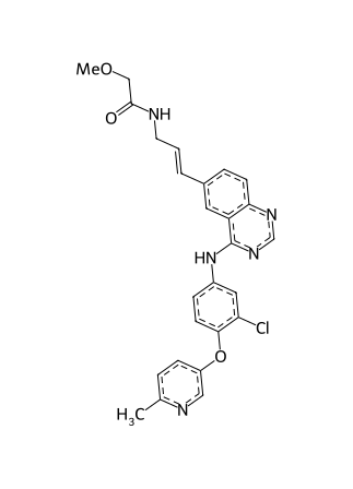 COCC(=O)NCC=Cc1ccc2ncnc(Nc3ccc(Oc4ccc(C)nc4)c(Cl)c3)c2c1